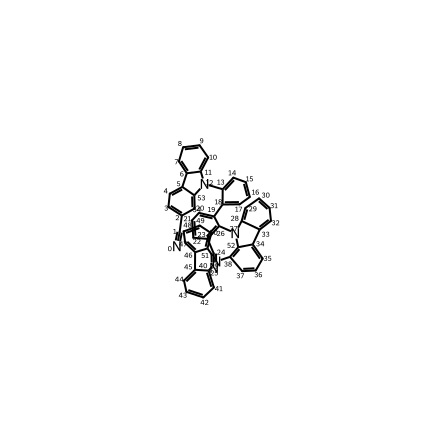 N#Cc1ccc2c3ccccc3n(-c3ccccc3-c3cccc(C#N)c3-n3c4ccccc4c4cccc(-n5c6ccccc6c6ccccc65)c43)c2c1